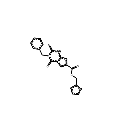 O=C(OCc1ncco1)c1cc2c(=O)n(Cc3ccccc3)c(=O)[nH]c2s1